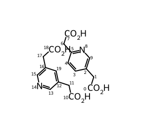 O=C(O)Cc1ccc(CC(=O)O)nc1.O=C(O)Cc1cncc(CC(=O)O)c1